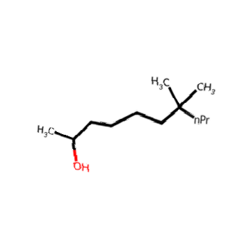 CCCC(C)(C)CCCCC(C)O